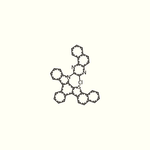 Clc1nc2ccc3ccccc3c2nc1-n1c2ccccc2c2c3ccccc3c3c4ccc5ccccc5c4sc3c21